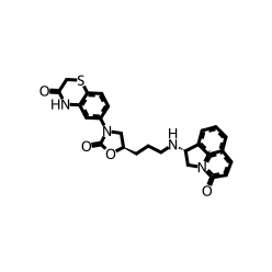 O=C1CSc2ccc(N3C[C@@H](CCCN[C@H]4Cn5c(=O)ccc6cccc4c65)OC3=O)cc2N1